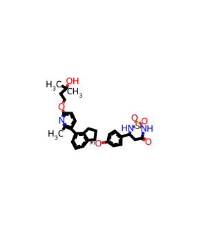 Cc1nc(OCCC(C)(C)O)ccc1-c1cccc2c1CC[C@H]2Oc1ccc(C2CC(=O)NS(=O)(=O)N2)cc1